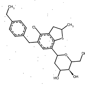 CCc1ccc(Cc2cc(C3CC(O)[C@H](O)C(CO)O3)c3c(c2Cl)CC(C)S3)cc1